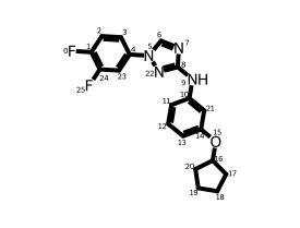 Fc1ccc(-n2cnc(Nc3cccc(OC4CCCC4)c3)n2)cc1F